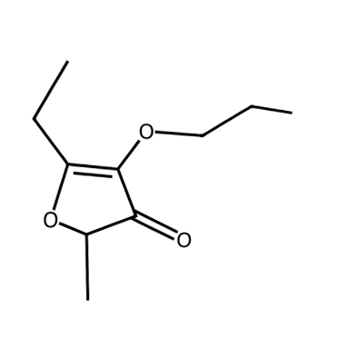 CCCOC1=C(CC)OC(C)C1=O